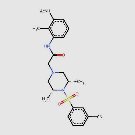 CC(=O)Nc1cccc(NC(=O)CN2C[C@@H](C)N(S(=O)(=O)c3cccc(C#N)c3)[C@@H](C)C2)c1C